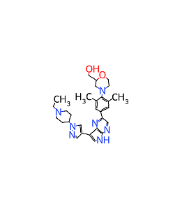 CCN1CCC(n2cc(-c3c[nH]c4ncc(-c5cc(C)c(N6CCOC(CO)C6)c(C)c5)nc34)cn2)CC1